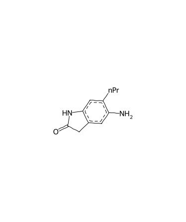 CCCc1cc2c(cc1N)CC(=O)N2